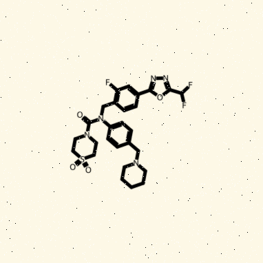 O=C(N1CCS(=O)(=O)CC1)N(Cc1ccc(-c2nnc(C(F)F)o2)cc1F)c1ccc(CN2CCCCC2)cc1